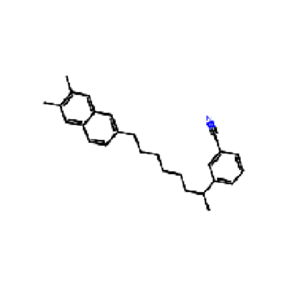 Cc1cc2ccc(CCCCCCC(C)c3cccc(C#N)c3)cc2cc1C